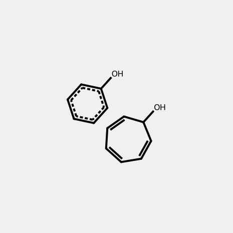 OC1C=CC=CC=C1.Oc1ccccc1